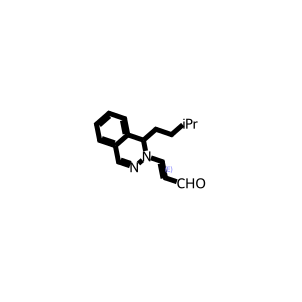 CC(C)CCC1c2ccccc2C=NN1/C=C/C=O